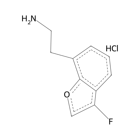 Cl.NCCc1cccc2c(F)coc12